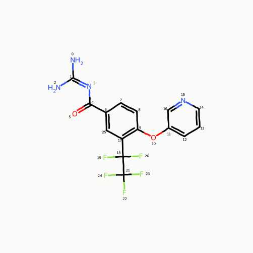 NC(N)=NC(=O)c1ccc(Oc2cccnc2)c(C(F)(F)C(F)(F)F)c1